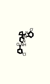 COc1cccc2[nH]c(C3(c4ccc(NC(=O)c5cccc(Cl)c5)nc4)CCC3)nc12